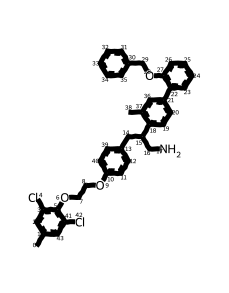 Cc1cc(Cl)c(OCCOc2ccc(CC(CN)c3ccc(-c4ccccc4OCc4ccccc4)cc3C)cc2)c(Cl)c1